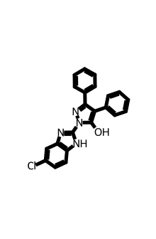 Oc1c(-c2ccccc2)c(-c2ccccc2)nn1-c1nc2cc(Cl)ccc2[nH]1